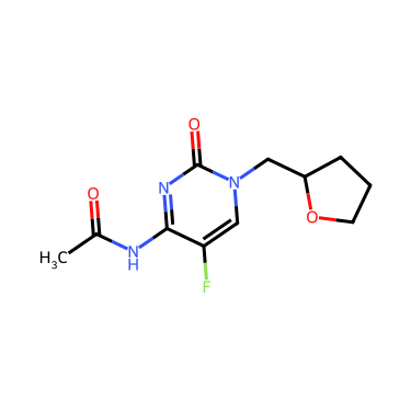 CC(=O)Nc1nc(=O)n(CC2CCCO2)cc1F